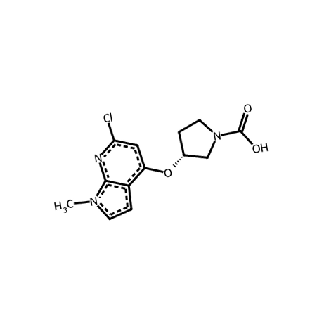 Cn1ccc2c(O[C@@H]3CCN(C(=O)O)C3)cc(Cl)nc21